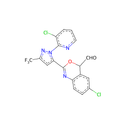 O=CC1OC(c2cc(C(F)(F)F)nn2-c2ncccc2Cl)=Nc2ccc(Cl)cc21